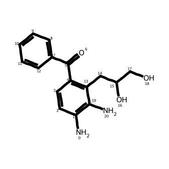 Nc1ccc(C(=O)c2ccccc2)c(CC(O)CO)c1N